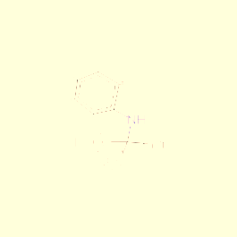 CCCC(Nc1ccccc1)(C(=O)O)C(=O)O